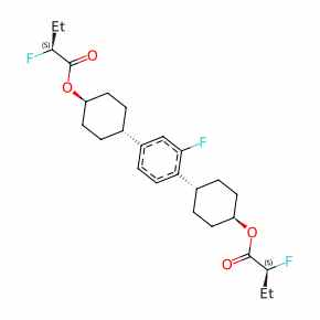 CC[C@H](F)C(=O)O[C@H]1CC[C@H](c2ccc([C@H]3CC[C@H](OC(=O)[C@@H](F)CC)CC3)c(F)c2)CC1